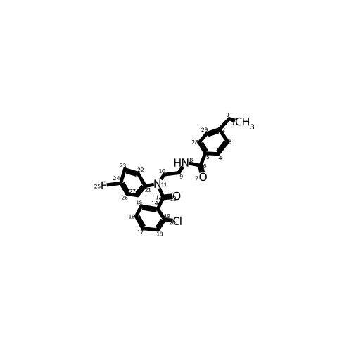 CCc1ccc(C(=O)NCCN(C(=O)c2ccccc2Cl)c2ccc(F)cc2)cc1